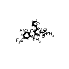 CCOC(=O)c1c(-c2ccco2)nc(S(C)(=O)=O)nc1N(C)c1cccc(C(F)(F)F)c1